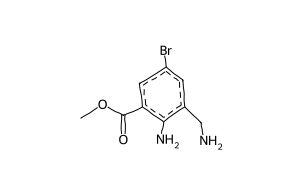 COC(=O)c1cc(Br)cc(CN)c1N